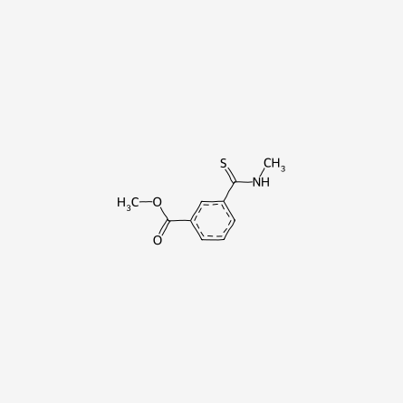 CNC(=S)c1cccc(C(=O)OC)c1